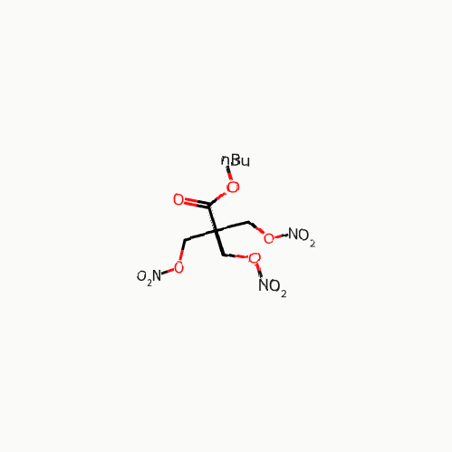 CCCCOC(=O)C(CO[N+](=O)[O-])(CO[N+](=O)[O-])CO[N+](=O)[O-]